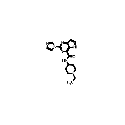 O=C(NC1CCN(CC(F)(F)F)CC1)c1nc(-n2ccnc2)nc2cc[nH]c12